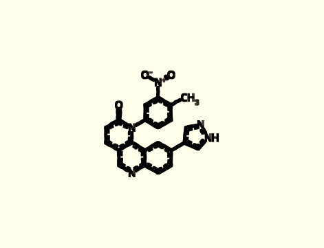 Cc1ccc(-n2c(=O)ccc3cnc4ccc(-c5cn[nH]c5)cc4c32)cc1[N+](=O)[O-]